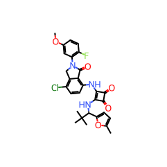 COc1ccc(F)c(N2Cc3c(Cl)ccc(Nc4c(N[C@@H](c5ccc(C)o5)C(C)(C)C)c(=O)c4=O)c3C2=O)c1